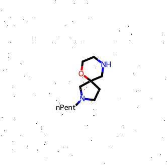 CCCCCN1CCC2(CNCCO2)C1